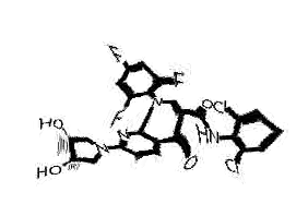 O=C(Nc1c(Cl)cccc1Cl)c1cn(-c2c(F)cc(F)cc2F)c2nc(N3C[C@@H](O)[C@H](O)C3)ccc2c1=O